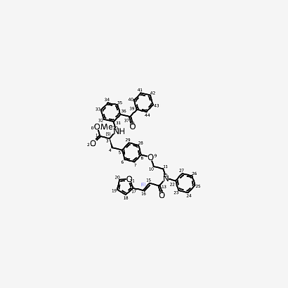 COC(=O)[C@H](Cc1ccc(OCCN(C(=O)/C=C/c2ccco2)c2ccccc2)cc1)Nc1ccccc1C(=O)c1ccccc1